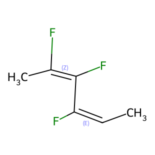 C/C=C(F)\C(F)=C(/C)F